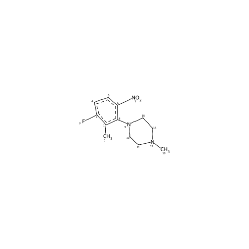 Cc1c(F)ccc([N+](=O)[O-])c1N1CCN(C)CC1